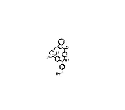 CC(C)Cc1ccc(C(Nc2ccc(C(=O)c3cc(CCCC(=O)O)c4cccccc3-4)cc2)c2ccc(CC(C)C)cc2)cc1